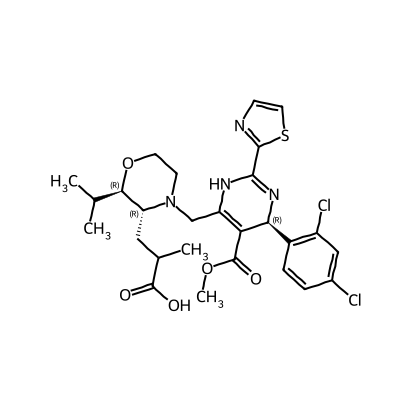 COC(=O)C1=C(CN2CCO[C@H](C(C)C)[C@H]2CC(C)C(=O)O)NC(c2nccs2)=N[C@H]1c1ccc(Cl)cc1Cl